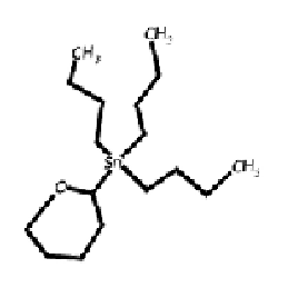 CCC[CH2][Sn]([CH2]CCC)([CH2]CCC)[CH]1CCCCO1